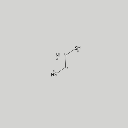 SCCS.[Ni]